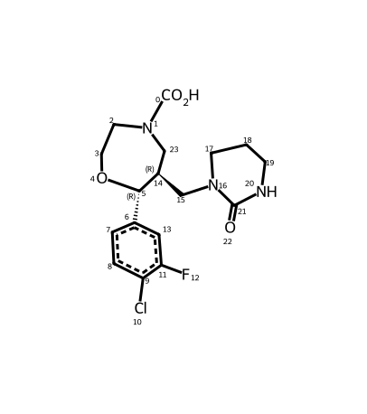 O=C(O)N1CCO[C@@H](c2ccc(Cl)c(F)c2)[C@H](CN2CCCNC2=O)C1